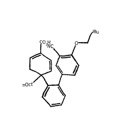 CCCCCCCCC1(c2ccccc2-c2ccc(OCC(C)CC)c(C#N)c2)C=CC(C(=O)O)=CC1